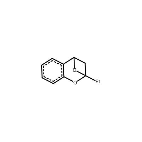 CCC12CC(O1)c1ccccc1O2